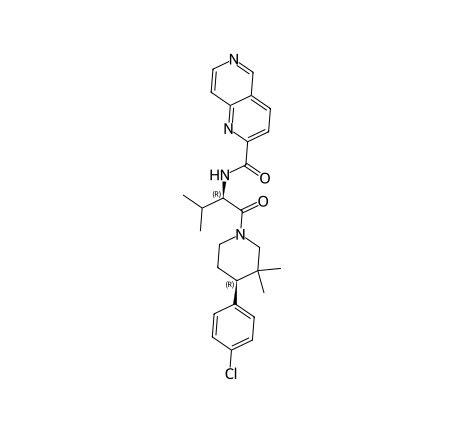 CC(C)[C@@H](NC(=O)c1ccc2cnccc2n1)C(=O)N1CC[C@H](c2ccc(Cl)cc2)C(C)(C)C1